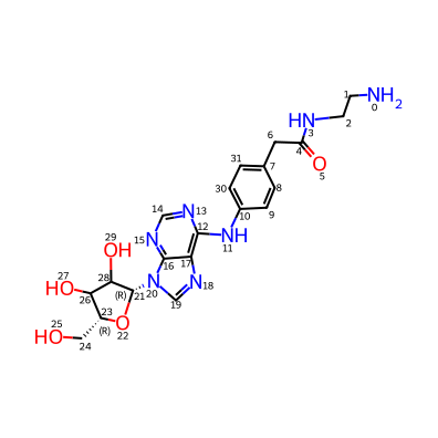 NCCNC(=O)Cc1ccc(Nc2ncnc3c2ncn3[C@@H]2O[C@H](CO)C(O)C2O)cc1